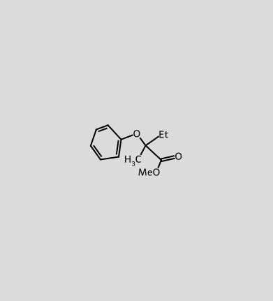 CCC(C)(Oc1ccccc1)C(=O)OC